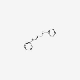 [CH](COc1ccccc1)COc1ccccc1